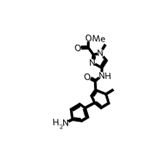 COC(=O)c1nc(NC(=O)C2=CC(c3ccc(N)cc3)=CCC2C)cn1C